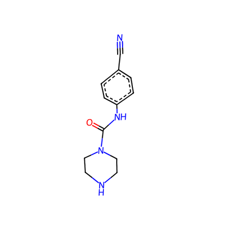 N#Cc1ccc(NC(=O)N2CCNCC2)cc1